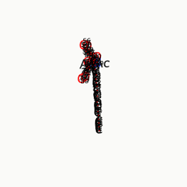 C=C=C=C=C=C=C=C=C=C=C=C=C=C=C=C=C=C=C=C=C=C=C=C=C=C=C=C=C=C=C=C=C=C=C=C(N(CCC(=O)OCC1CC2CC1C1CC(COC(=O)C=C)CC21)C(C)=O)N(CCC(=O)OCC1CC2CC1C1CC(COC(=O)C=C)CC21)C(C)=O